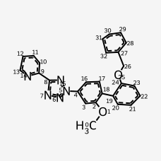 COc1cc(-n2nnc(-c3ccccn3)n2)ccc1-c1ccccc1OCc1ccccc1